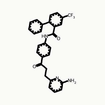 Nc1cccc(CCC(=O)c2ccc(NC(=O)c3cc(C(F)(F)F)ccc3-c3ccccc3)cc2)n1